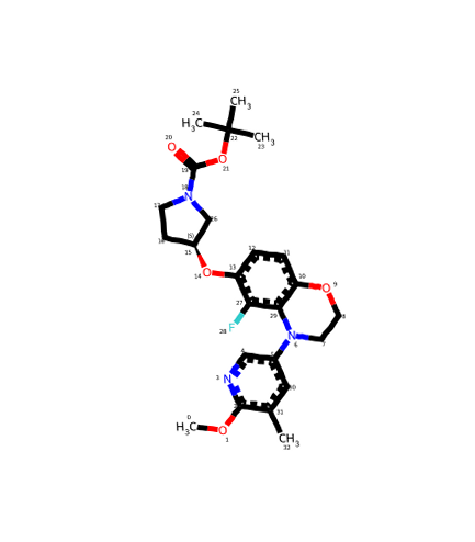 COc1ncc(N2CCOc3ccc(O[C@H]4CCN(C(=O)OC(C)(C)C)C4)c(F)c32)cc1C